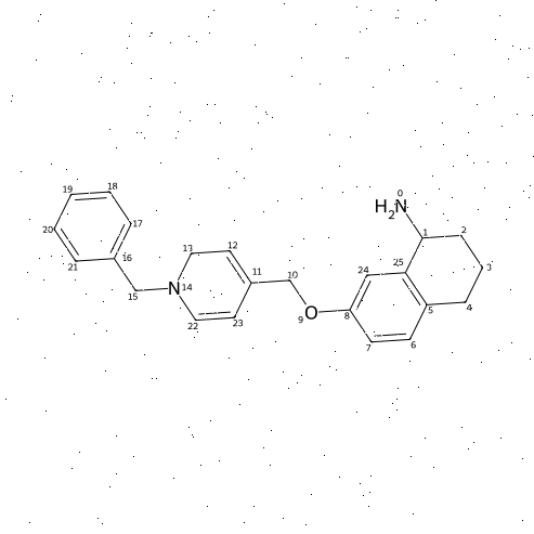 NC1CCCc2ccc(OCC3=CCN(Cc4ccccc4)C=C3)cc21